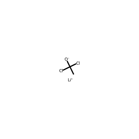 CC([O-])(Cl)Cl.[Li+]